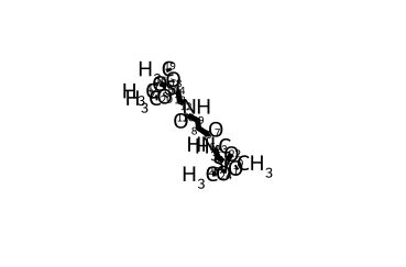 CO[Si](CCNC(=O)CCC(=O)NCC[Si](OC)(OC)OC)(OC)OC